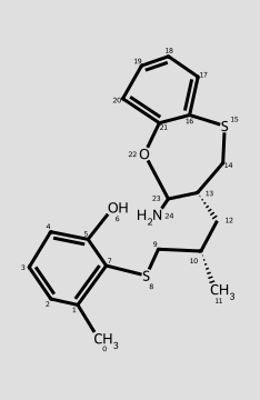 Cc1cccc(O)c1SC[C@@H](C)C[C@H]1CSc2ccccc2OC1N